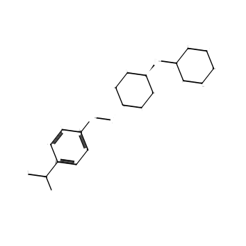 CC(O)c1ccc(OC[C@H]2CC[C@H](NC3CCCCC3)CC2)cc1